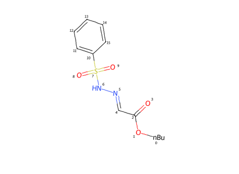 CCCCOC(=O)/C=N/NS(=O)(=O)c1ccccc1